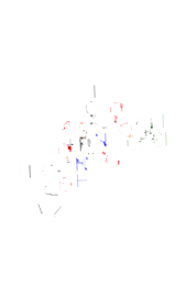 CC(Oc1ccccc1)C(=O)NC1C(=O)N2C(C(=O)OCC(Cl)(Cl)Cl)C(C)[S+]([O-])[C@@H]12